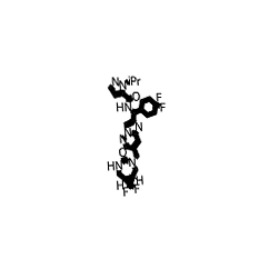 CC(C)n1nccc1C(=O)NC(c1cn2ncc(CN3C[C@@H]4[C@H](CNC3=O)C4(F)F)cc2n1)C1CCC(F)(F)CC1